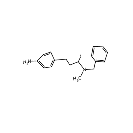 CN(Cc1ccccc1)C(I)CCc1ccc(N)cc1